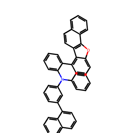 c1ccc(N(c2cccc(-c3cccc4ccccc34)c2)c2ccccc2-c2cccc3oc4c5ccccc5ccc4c23)cc1